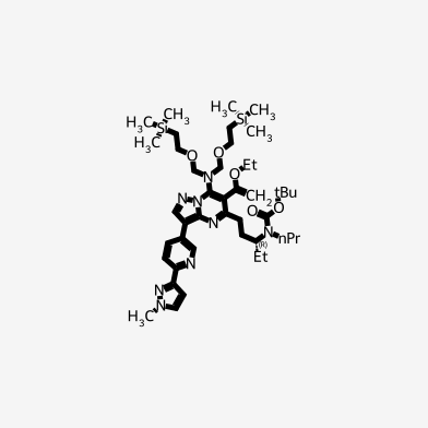 C=C(OCC)c1c(CC[C@@H](CC)N(CCC)C(=O)OC(C)(C)C)nc2c(-c3ccc(-c4ccn(C)n4)nc3)cnn2c1N(COCC[Si](C)(C)C)COCC[Si](C)(C)C